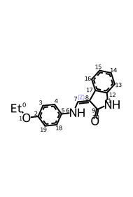 CCOc1ccc(N/C=C2\C(=O)Nc3ccccc32)cc1